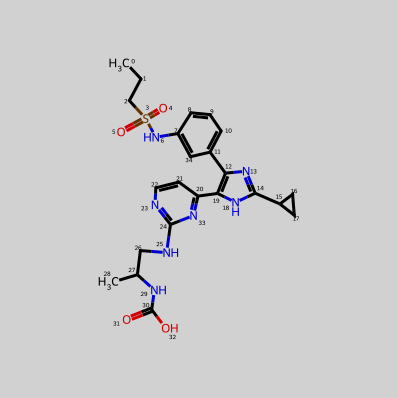 CCCS(=O)(=O)Nc1cccc(-c2nc(C3CC3)[nH]c2-c2ccnc(NCC(C)NC(=O)O)n2)c1